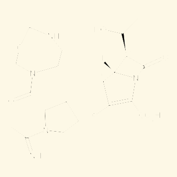 CC(=N)N1C[C@@H](SC2=C(C(=O)O)N3C(=O)[C@H](C(C)O)[C@H]3[C@H]2C)C[C@H]1C(=O)N1CCCNCC1